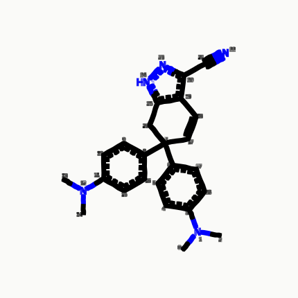 CN(C)c1ccc(C2(c3ccc(N(C)C)cc3)C=Cc3c(C#N)n[nH]c3C2)cc1